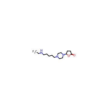 O=C1CCC(N2CCN(CCCCCNCC(F)(F)F)CC2)O1